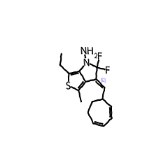 CCc1sc(C)c2c1N(N)C(F)(F)/C2=C/C1C=CC=CCC1